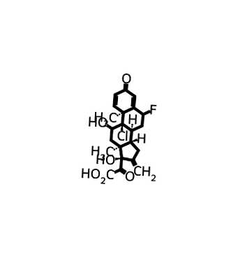 C=C1C[C@H]2[C@@H]3CC(F)C4=CC(=O)C=C[C@]4(C)[C@@]3(Cl)C(O)C[C@]2(C)[C@@]1(O)C(=O)C(=O)O